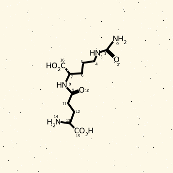 NC(=O)NCCCC(NC(=O)CCC(N)C(=O)O)C(=O)O